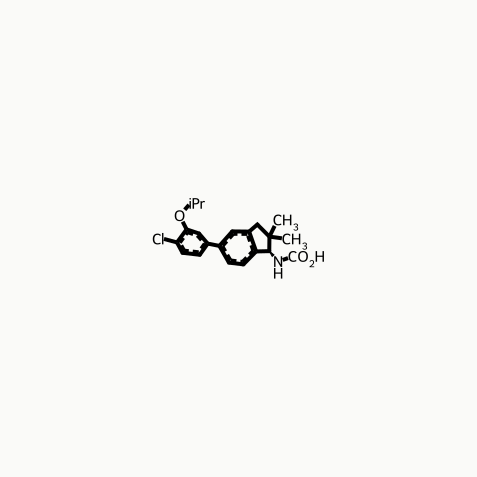 CC(C)Oc1cc(-c2ccc3c(c2)CC(C)(C)[C@H]3NC(=O)O)ccc1Cl